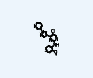 COc1c[c]ccc1Nc1ncc(Cl)c(-c2cnn(-c3cccnc3)c2)n1